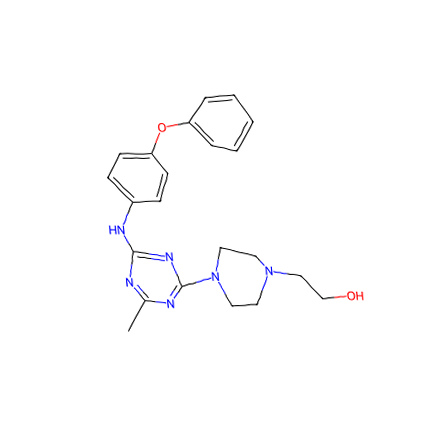 Cc1nc(Nc2ccc(Oc3ccccc3)cc2)nc(N2CCN(CCO)CC2)n1